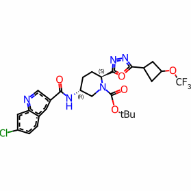 CC(C)(C)OC(=O)N1C[C@H](NC(=O)c2cnc3cc(Cl)ccc3c2)CC[C@H]1c1nnc(C2CC(OC(F)(F)F)C2)o1